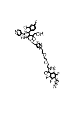 [N-]=[N+]=Nc1c(F)c(F)c(C(=O)NCCOCCOCCn2cc(COCC3=C(C(=O)CO)C(c4ccc(F)cc4Cl)N=C(c4ccncc4)N3)nn2)c(F)c1F